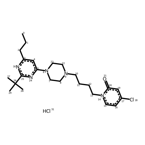 CCCc1cc(N2CCN(CCCCn3ccc(Cl)cc3=O)CC2)nc(C(C)(C)C)n1.Cl